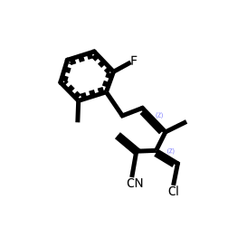 C=C(C#N)C(=C\Cl)/C(C)=C\Cc1c(C)cccc1F